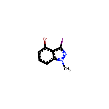 Cn1nc(I)c2c(Br)cccc21